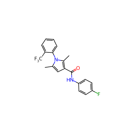 Cc1cc(C(=O)Nc2ccc(F)cc2)c(C)n1-c1ccccc1C(F)(F)F